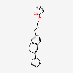 C=CC(=O)OCCCc1ccc2c(c1)CCC(c1ccccc1)=C2